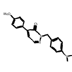 COc1ccc(-c2ccnn(Cc3ccc(N(C)C)cc3)c2=O)cc1